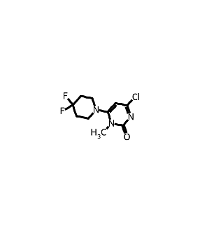 Cn1c(N2CCC(F)(F)CC2)cc(Cl)nc1=O